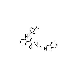 O=C(NCCCN1CCc2ccccc2C1)c1cc(-c2ccc(Cl)s2)nc2ccccc12